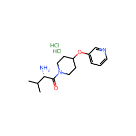 CC(C)[C@H](N)C(=O)N1CCC(Oc2cccnc2)CC1.Cl.Cl